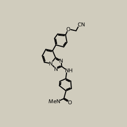 CNC(=O)c1ccc(Nc2nc3c(-c4ccc(OCC#N)cc4)cccn3n2)cc1